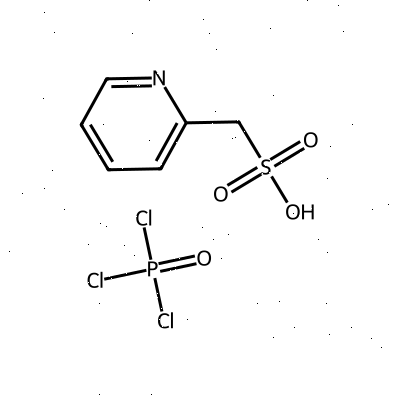 O=P(Cl)(Cl)Cl.O=S(=O)(O)Cc1ccccn1